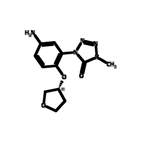 Cn1nnn(-c2cc(N)ccc2O[C@@H]2CCOC2)c1=O